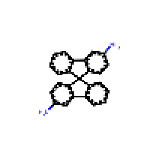 Nc1ccc2c(c1)-c1ccccc1C21c2ccccc2-c2cc(N)ccc21